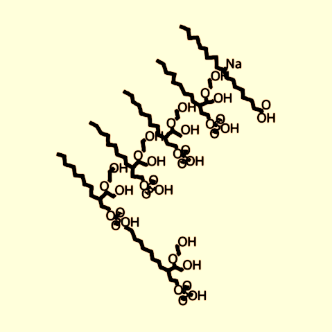 CCCCCCCCCC(CCOS(=O)(=O)O)C(CO)OCCO.CCCCCCCCCC(CCOS(=O)(=O)O)C(CO)OCCO.CCCCCCCCCC(CCOS(=O)(=O)O)C(CO)OCCO.CCCCCCCCCC(CCOS(=O)(=O)O)C(CO)OCCO.CCCCCCCCCC(CCOS(=O)(=O)O)C(CO)OCCO.CCCCCCCCC[CH]([Na])CCCCCCCC(=O)O